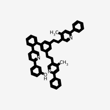 Cc1cc(-c2ccccc2)ncc1CCc1cc(CCc2cnc(-c3ccccc3)cc2C)cc(-c2ccccc2-c2ccc(-c3cccc(O)c3)nc2)c1